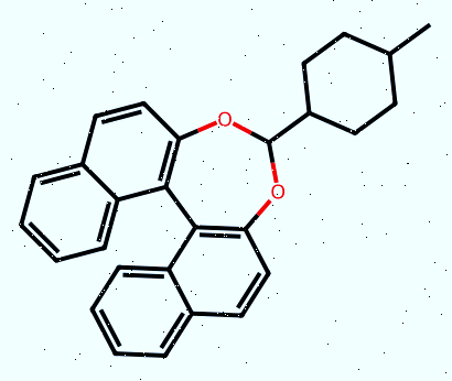 CC1CCC(C2Oc3ccc4ccccc4c3-c3c(ccc4ccccc34)O2)CC1